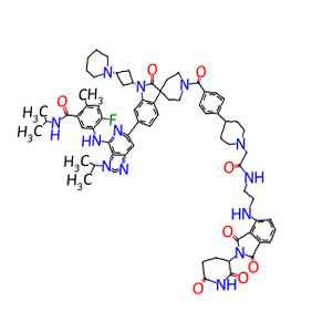 Cc1cc(F)c(Nc2nc(-c3ccc4c(c3)N([C@H]3C[C@@H](N5CCCCC5)C3)C(=O)C43CCN(C(=O)c4ccc(C5CCN(CC(=O)NCCNc6cccc7c6C(=O)N(C6CCC(=O)NC6=O)C7=O)CC5)cc4)CC3)cc3ncn(C(C)C)c23)cc1C(=O)NC(C)C